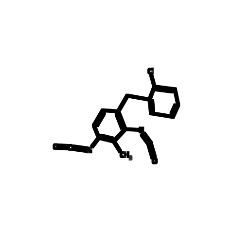 Cc1c(N=C=O)ccc(Cc2ccccc2Cl)c1N=C=O